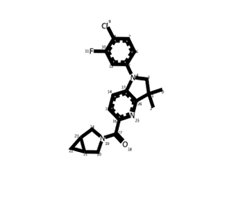 CC1(C)CN(c2ccc(Cl)c(F)c2)c2ccc(C(=O)N3CC4CC4C3)nc21